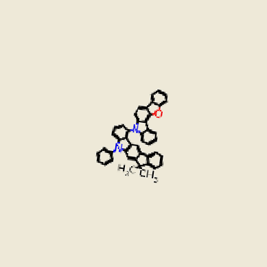 CC1(C)c2ccccc2-c2cc3c4c(-n5c6ccccc6c6c7oc8ccccc8c7ccc65)cccc4n(-c4ccccc4)c3cc21